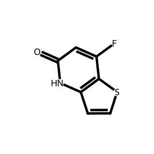 O=c1cc(F)c2sccc2[nH]1